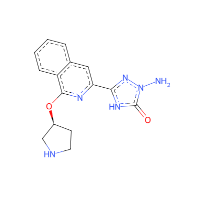 Nn1nc(-c2cc3ccccc3c(O[C@H]3CCNC3)n2)[nH]c1=O